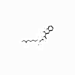 CCC(=O)CCCCC[C@H](NC)c1ncc(-c2cc3ccccc3nc2OC)[nH]1